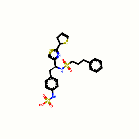 O=S(=O)(O)Nc1ccc(C[C@H](NS(=O)(=O)CCCc2ccccc2)c2csc(C3CC=CS3)n2)cc1